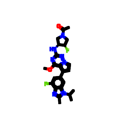 COc1nc(N[C@@H]2CN(C(C)=O)C[C@@H]2F)nn2ccc(-c3cc(F)c4nc(C)n(C(C)C)c4c3)c12